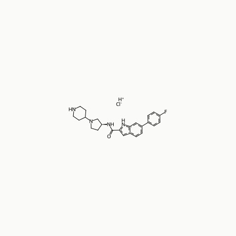 O=C(N[C@H]1CCN(C2CCNCC2)C1)c1cc2ccc(-c3ccc(F)cc3)cc2[nH]1.[Cl-].[H+]